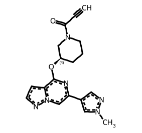 C#CC(=O)N1CCC[C@@H](Oc2nc(-c3cnn(C)c3)cn3nccc23)C1